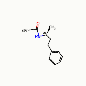 CCCC(=O)N[C@@H](C)CCc1ccccc1